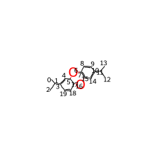 CC(C)C1=CC2Oc3ccc(C(C)C)cc3OC2C=C1